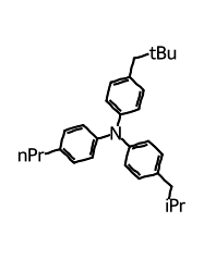 CCCc1ccc(N(c2ccc(CC(C)C)cc2)c2ccc(CC(C)(C)C)cc2)cc1